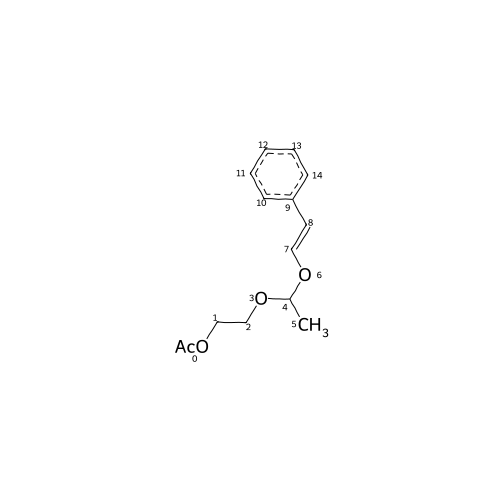 CC(=O)OCCOC(C)OC=Cc1ccccc1